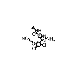 N#CCCCOc1cc(-c2nc(N)nc3c2CN(C(=O)NC2CC2)C3)c(Cl)cc1Cl